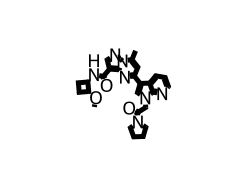 CO[C@@H]1CC[C@H]1NC(=O)c1cnn2c(C)cc(-c3cn(CC(=O)N4CCCC4)c4ncccc34)nc12